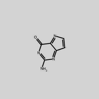 NC1=NC(=O)C2=NC=[C]C2=N1